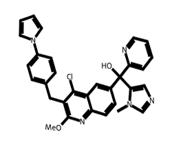 COc1nc2ccc(C(O)(c3ccccn3)c3cncn3C)cc2c(Cl)c1Cc1ccc(-n2cccc2)cc1